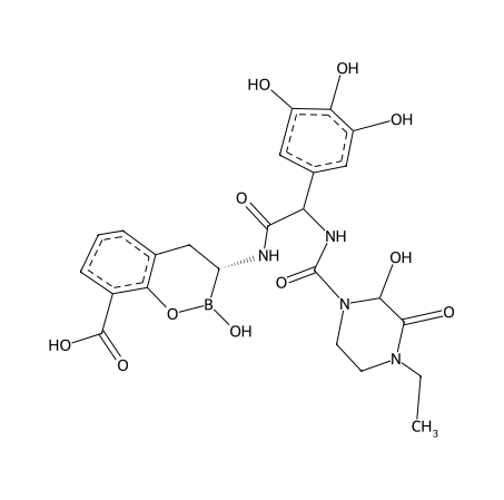 CCN1CCN(C(=O)NC(C(=O)N[C@H]2Cc3cccc(C(=O)O)c3OB2O)c2cc(O)c(O)c(O)c2)C(O)C1=O